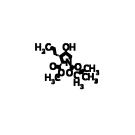 C=CC[C@H]1[C@@H](C(=O)OC)N(C(=O)OC(C)(C)C)C[C@@H]1O